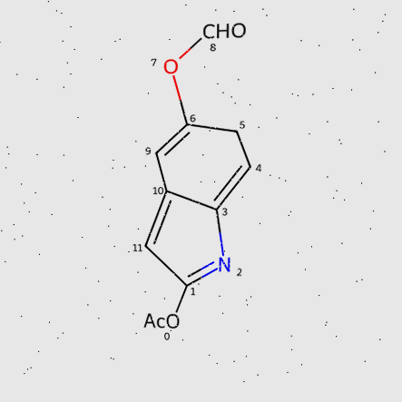 CC(=O)OC1=NC2=CCC(OC=O)=CC2=C1